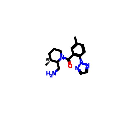 Cc1ccc(-n2nccn2)c(C(=O)N2CCC[C@@H](C)C2CN)c1